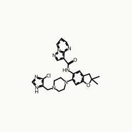 CC1(C)Cc2cc(NC(=O)c3cnn4cccnc34)c(N3CCN(Cc4[nH]cnc4Cl)CC3)cc2O1